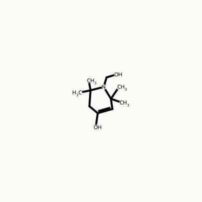 CC1(C)C=C(O)CC(C)(C)N1CO